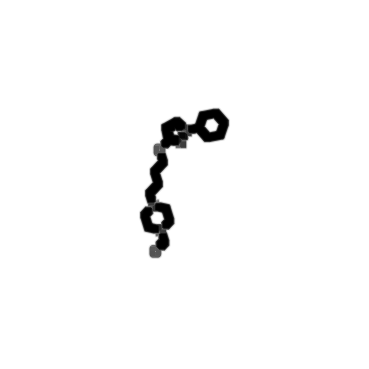 O=CN1CCN(CCCCOc2ccn(C3CCCCC3)n2)CC1